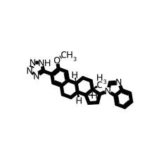 COc1cc2c(cc1-c1nnn[nH]1)CC[C@@H]1[C@@H]2CC[C@]2(C)C(n3cnc4ccccc43)CC[C@@H]12